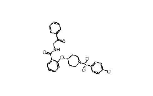 O=C(CNC(=O)c1ccccc1OC1CCN(S(=O)(=O)c2ccc(Cl)cc2)CC1)c1ccccc1